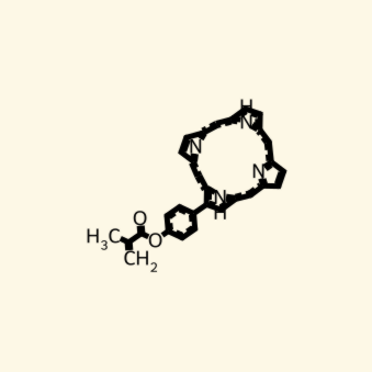 C=C(C)C(=O)Oc1ccc(-c2cc3cc4nc(cc5ccc(cc6nc(cc2[nH]3)C=C6)[nH]5)C=C4)cc1